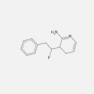 NC1=NC=CCC1C(F)Cc1ccccc1